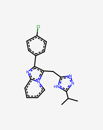 CC(C)c1nnc(Cc2c(-c3ccc(Cl)cc3)nc3ccccn23)[nH]1